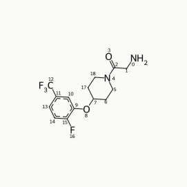 NCC(=O)N1CCC(Oc2cc(C(F)(F)F)ccc2F)CC1